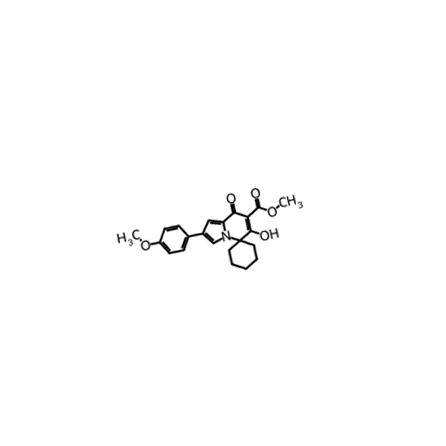 COC(=O)C1=C(O)C2(CCCCC2)n2cc(-c3ccc(OC)cc3)cc2C1=O